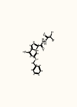 O=C(NNC(=O)C(F)F)c1ncc2c(F)cc(SCc3ccccc3)cn12